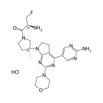 C[C@]1(N2CCc3c(-c4cnc(N)nc4)nc(N4CCOCC4)nc32)CCN(C(=O)[C@H](N)CF)C1.Cl